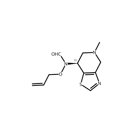 C=CCON(C=O)[C@H]1CN(C)Cc2ncsc21